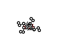 CC[SiH2][Zr]([Cl])([Cl])([CH2][CH2][Zr]([Cl])([Cl])([SiH2]CC)([CH]1C(CC)=Cc2c(-c3cccc4ccccc34)cccc21)[CH]1C(CC)=Cc2c(-c3cccc4ccccc34)cccc21)([CH]1C(CC)=Cc2c(-c3cccc4ccccc34)cccc21)[CH]1C(CC)=Cc2c(-c3cccc4ccccc34)cccc21